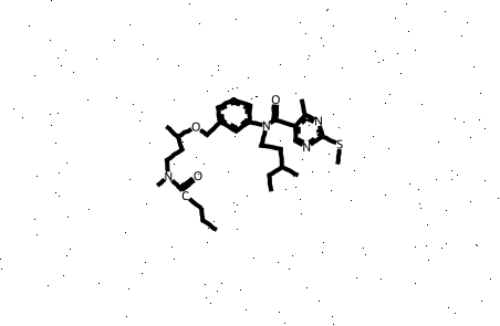 CCCCC(=O)N(C)CCC(C)OCc1cccc(N(CCC(C)CC)C(=O)c2cnc(SC)nc2C)c1